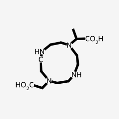 CC(C(=O)O)N1CCNCCN(CC(=O)O)CCNCC1